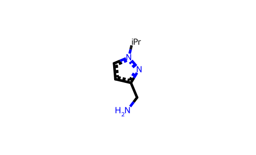 CC(C)n1ccc(CN)n1